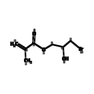 C=C(C)C(=O)OCC(O)CBr